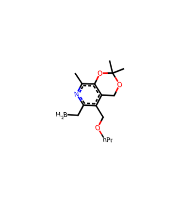 BCc1nc(C)c2c(c1COCCC)COC(C)(C)O2